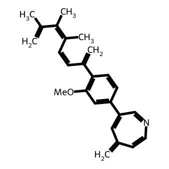 C=C1C=CN=CC(c2ccc(C(=C)/C=C\C(C)=C(\C)C(=C)C)c(OC)c2)=C1